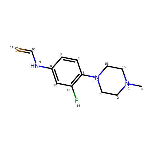 CN1CCN(c2ccc(NC=S)cc2F)CC1